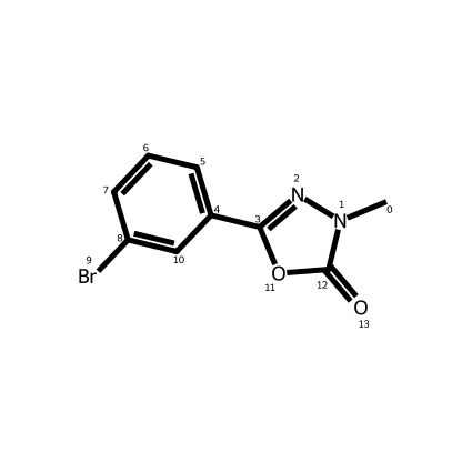 Cn1nc(-c2cccc(Br)c2)oc1=O